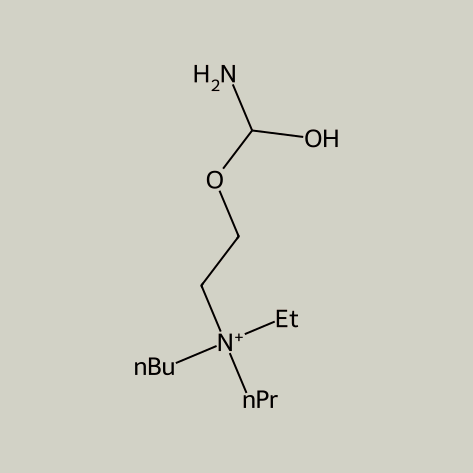 CCCC[N+](CC)(CCC)CCOC(N)O